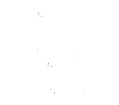 CCn1[c]nc(C(C)C)c1Sc1cccc([N+](=O)[O-])c1